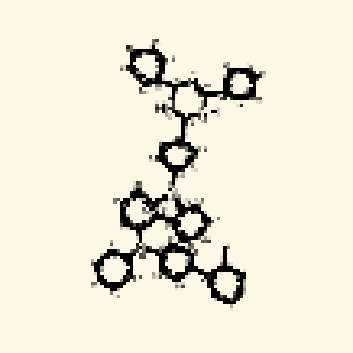 Cc1ccccc1-c1ccc(N(c2ccccc2)c2cccc3c2c2ccccc2n3-c2ccc(C3NC(c4ccccc4)=NC(c4ccccc4)N3)cc2)cc1